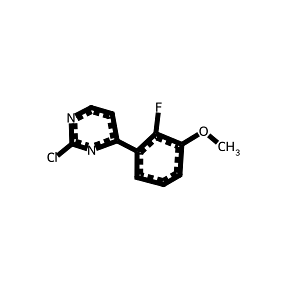 COc1cccc(-c2ccnc(Cl)n2)c1F